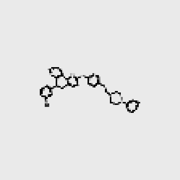 Brc1cccc(C2Cc3cnc(Nc4ccc(CCN5CCN(c6ccccc6)CC5)cc4)nc3-c3ccccc32)c1